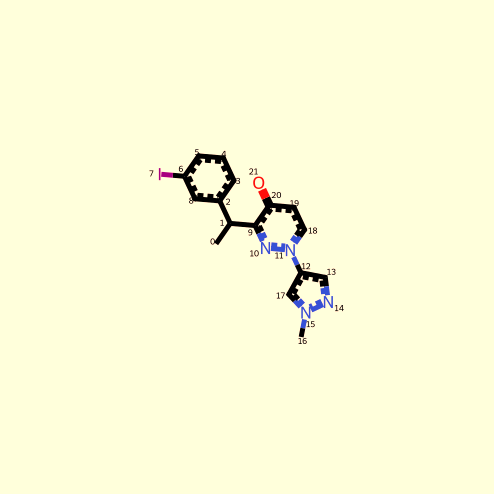 CC(c1cccc(I)c1)c1nn(-c2cnn(C)c2)ccc1=O